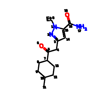 CCn1nc(CC(=O)C2CCC(C)CC2)cc1C(N)=O